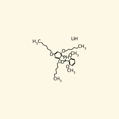 CCCCCCOc1cc(OCCCCCC)c(PC(=O)c2c(OC)cccc2OC)c(OCCCCCC)c1.[LiH]